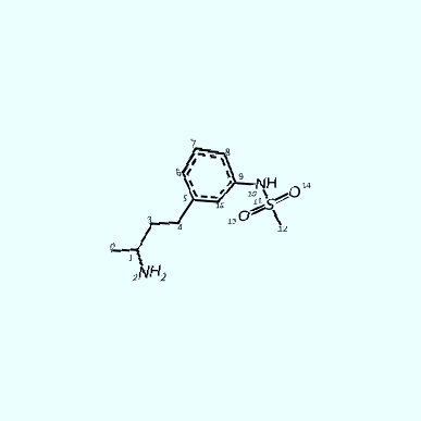 CC(N)CCc1cccc(NS(C)(=O)=O)c1